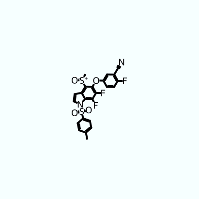 Cc1ccc(S(=O)(=O)n2ccc3c([S+](C)[O-])c(Oc4ccc(F)c(C#N)c4)c(F)c(F)c32)cc1